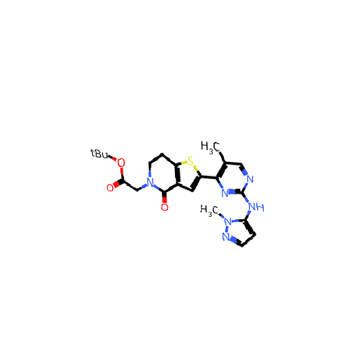 Cc1cnc(Nc2ccnn2C)nc1-c1cc2c(s1)CCN(CC(=O)OC(C)(C)C)C2=O